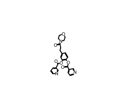 O=C(Oc1ccc(CCC(=O)N2CCOCC2)cc1OC(=O)c1cccnc1)c1cccnc1